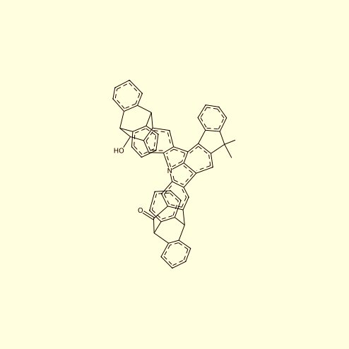 CC1(C)c2ccccc2-c2c1cc1c3cc4c(cc3n3c5cc6c(cc5c2c13)C1c2ccccc2C(c2ccccc21)C6O)C(=O)C1c2ccccc2C4c2ccccc21